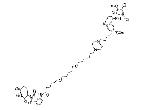 COc1cc(Nc2c(C#N)cnc3cc(OCCCN4CCN(CCCCCCOCCCCCOCCCCCC(=O)Nc5cccc6c5C(=O)N(C5CCC(=O)NC5=O)C6=O)CC4)c(OC)cc23)c(Cl)cc1Cl